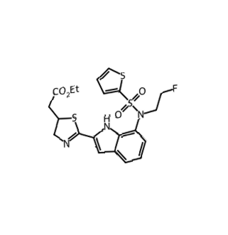 CCOC(=O)CC1CN=C(c2cc3cccc(N(CCF)S(=O)(=O)c4cccs4)c3[nH]2)S1